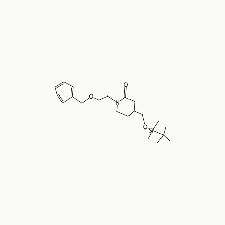 CC(C)(C)[Si](C)(C)OCC1CCN(CCOCc2ccccc2)C(=O)C1